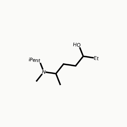 CCCC(C)N(C)C(C)CCC(O)CC